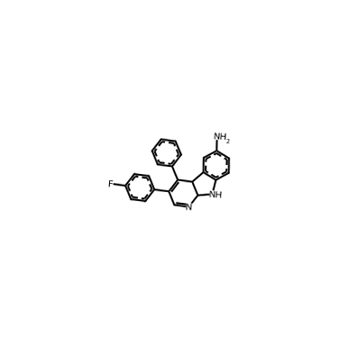 Nc1ccc2c(c1)C1C(c3ccccc3)=C(c3ccc(F)cc3)C=NC1N2